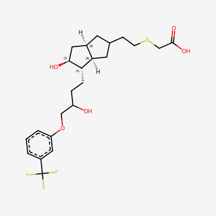 O=C(O)CSCCC1C[C@@H]2C[C@H](O)[C@@H](CCC(O)COc3cccc(C(F)(F)F)c3)[C@@H]2C1